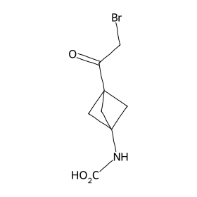 O=C(O)NC12CC(C(=O)CBr)(C1)C2